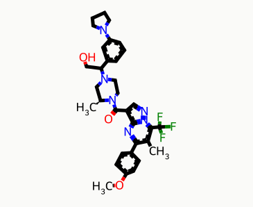 COc1ccc(-c2nc3c(C(=O)N4CCN(C(CO)c5cccc(N6CCCC6)c5)C[C@H]4C)cnn3c(C(F)(F)F)c2C)cc1